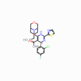 COC(=O)C1=C(CN2C3COCC2CC(CC(=O)O)C3)NC(c2nccs2)=N[C@H]1c1ccc(F)cc1Cl